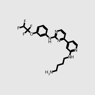 NCCCCNc1cc(-c2ccnc(Nc3cccc(OC(F)(F)C(F)F)c3)n2)ccn1